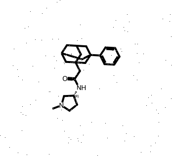 CN1CC[C@@H](NC(=O)CC23CC4CC(C2)CC(c2ccccc2)(C4)C3)C1